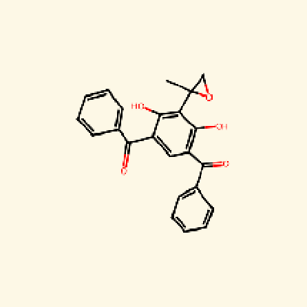 CC1(c2c(O)c(C(=O)c3ccccc3)cc(C(=O)c3ccccc3)c2O)CO1